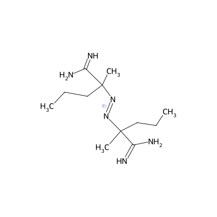 CCCC(C)(/N=N/C(C)(CCC)C(=N)N)C(=N)N